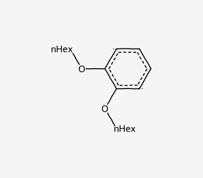 CCCCCCOc1[c]cc[c]c1OCCCCCC